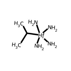 C[CH](C)[Hf]([NH2])([NH2])([NH2])[NH2]